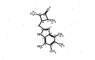 Cc1c(C)c(C)c2[nH]c(CC3C(C)C(=O)C3C)nc2c1C